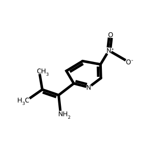 CC(C)=C(N)c1ccc([N+](=O)[O-])cn1